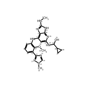 CNc1nc2c(Nc3cccc(-c4ncn(C)n4)c3OC)cc(NC(O)C3CC3)nc2[nH]1